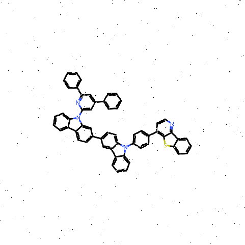 c1ccc(-c2cc(-c3ccccc3)nc(-n3c4ccccc4c4ccc(-c5ccc6c(c5)c5ccccc5n6-c5ccc(-c6ccnc7c6sc6ccccc67)cc5)cc43)c2)cc1